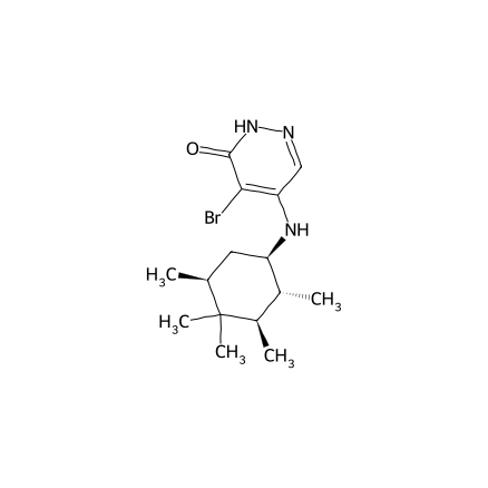 C[C@@H]1[C@@H](C)C(C)(C)[C@@H](C)C[C@H]1Nc1cn[nH]c(=O)c1Br